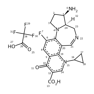 N[C@@H]1CCN2c3c(F)cc4c(=O)c(C(=O)O)cn(C5CC5)c4c3C=NC[C@H]12.O=C(O)C(F)(F)F